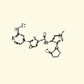 CCNc1cc(-c2nc(C(=O)Nc3cn(C)nc3N3CCCC3=O)co2)ccn1